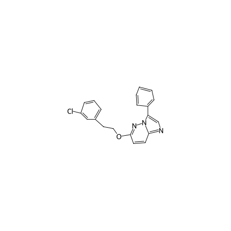 Clc1cccc(CCOc2ccc3ncc(-c4ccccc4)n3n2)c1